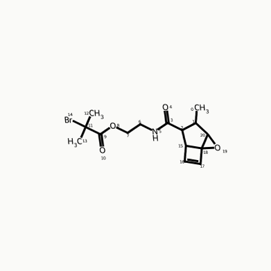 CC1C(C(=O)NCCOC(=O)C(C)(C)Br)C2C=CC23OC13